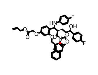 C=CCOC(=O)COc1ccc([C@@H](Nc2ccc(F)cc2)[C@@H](CC[C@H](O)c2ccc(F)cc2)C(=O)N2C(=O)OC[C@@H]2Cc2ccccc2)c(OCc2ccccc2)c1